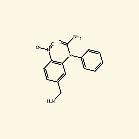 NCc1ccc([N+](=O)[O-])c(N(C(N)=O)c2ccccc2)c1